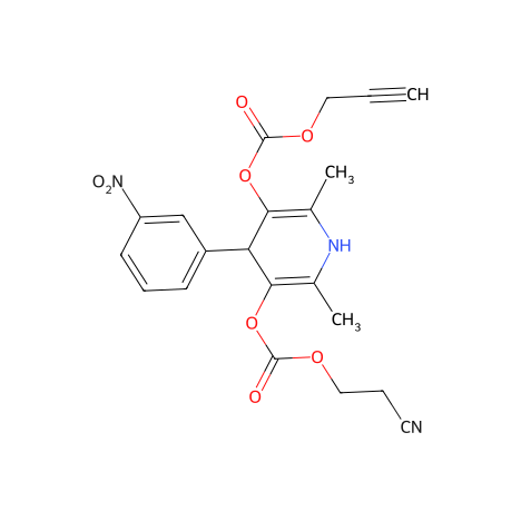 C#CCOC(=O)OC1=C(C)NC(C)=C(OC(=O)OCCC#N)C1c1cccc([N+](=O)[O-])c1